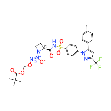 Cc1ccc(-c2cc(C(F)(F)F)nn2-c2ccc(S(=O)(=O)NC(=O)[C@@H]3CCN3/[N+]([O-])=N/OCOC(=O)C(C)(C)C)cc2)cc1